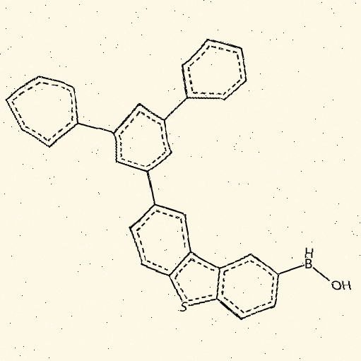 OBc1ccc2sc3ccc(-c4cc(-c5ccccc5)cc(-c5ccccc5)c4)cc3c2c1